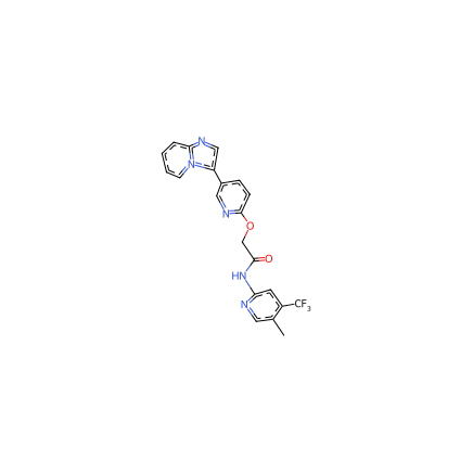 Cc1cnc(NC(=O)COc2ccc(-c3cnc4ccccn34)cn2)cc1C(F)(F)F